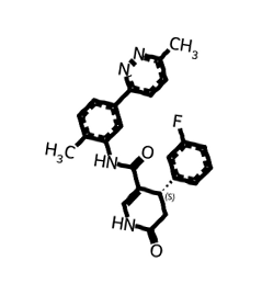 Cc1ccc(-c2ccc(C)c(NC(=O)C3=CNC(=O)C[C@H]3c3cccc(F)c3)c2)nn1